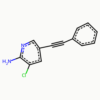 Nc1ncc(C#Cc2ccccc2)cc1Cl